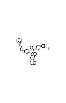 Cc1ccc(C(=O)c2oc3cc4c(cc3c2-c2ccc(OCCN3CCCCC3)cc2)CC=CO4)cc1